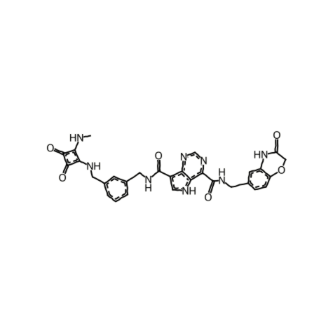 CNc1c(NCc2cccc(CNC(=O)c3c[nH]c4c(C(=O)NCc5ccc6c(c5)NC(=O)CO6)ncnc34)c2)c(=O)c1=O